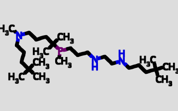 CN(CCCC(C)(C)C)CCCC(C)(C)P(C)CCCNCCNCCCC(C)(C)C